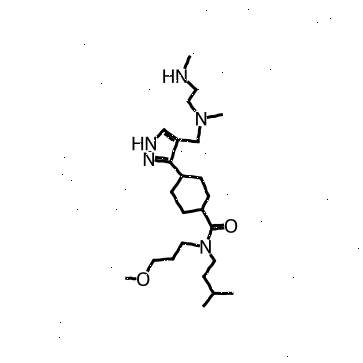 CNCCN(C)Cc1c[nH]nc1C1CCC(C(=O)N(CCCOC)CCC(C)C)CC1